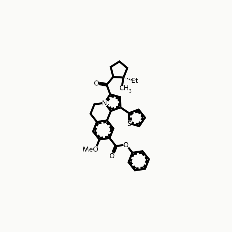 CC[C@@]1(C)CCCC1C(=O)c1cc(-c2cccs2)c2n1CCc1cc(OC)c(C(=O)Oc3ccccc3)cc1-2